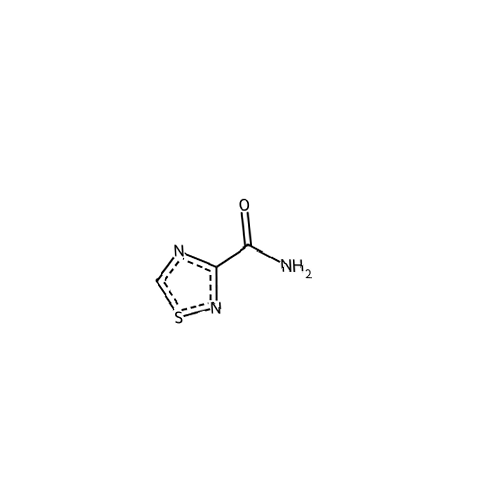 NC(=O)c1ncsn1